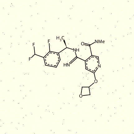 CNC(=O)c1cnc(OC2COC2)cc1C(=N)N[C@H](C)c1cccc(C(F)F)c1F